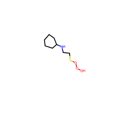 OOOSCCNC1CCCCC1